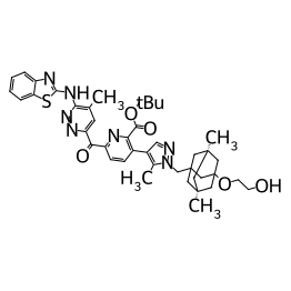 Cc1cc(C(=O)c2ccc(-c3cnn(CC45CC6(OCCO)C[C@](C)(C4)C[C@](C)(C5)C6)c3C)c(C(=O)OC(C)(C)C)n2)nnc1Nc1nc2ccccc2s1